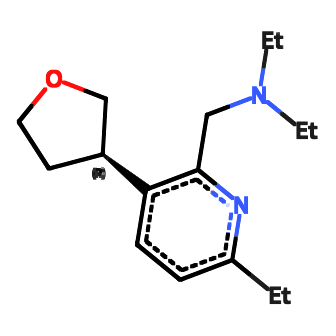 CCc1ccc([C@H]2CCOC2)c(CN(CC)CC)n1